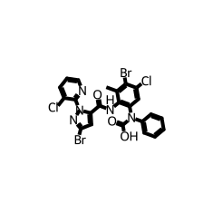 Cc1c(Br)c(Cl)cc(N(C(=O)O)c2ccccc2)c1NC(=O)c1cc(Br)nn1-c1ncccc1Cl